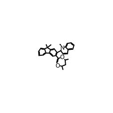 CC1CC(C)OC(c2cc3c(cc2C2C=Cc4ccccc4N2C)C(C)(C)c2ccccc2-3)=CO1